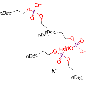 CCCCCCCCCCCCOP(=O)(O)O.CCCCCCCCCCCCOP(=O)(O)OCCCCCCCCCCCC.CCCCCCCCCCCCOP(=O)([O-])OCCCCCCCCCCCC.[K+]